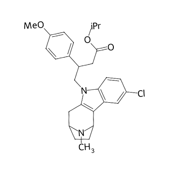 COc1ccc(C(CC(=O)OC(C)C)Cn2c3c(c4cc(Cl)ccc42)C2CCC(C3)N2C)cc1